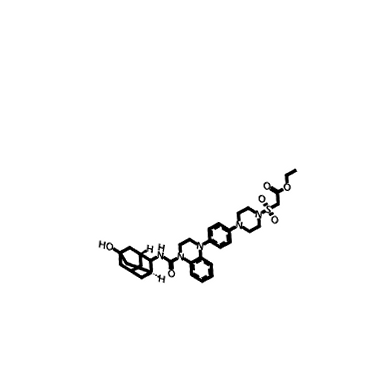 CCOC(=O)CS(=O)(=O)N1CCN(c2ccc(N3CCN(C(=O)NC4[C@@H]5CC6C[C@H]4CC(O)(C6)C5)c4ccccc43)cc2)CC1